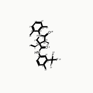 CC[C@@]1(C(=O)Nc2ccc(C)c(C(F)(F)F)c2)CN(c2c(C)cccc2C)C(=O)[C@H]1C